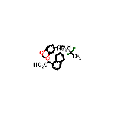 O=C(O)C(F)(F)C(F)(F)F.O=C(O)Cc1cccc2ccccc12.O=C(O)c1ccc2c(c1)OCO2